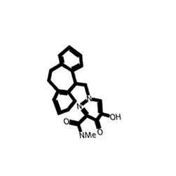 CNC(=O)c1nn(CC2C3=C(C=CCC3)CCc3ccccc32)cc(O)c1=O